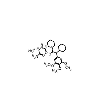 COc1cc(C(C(=O)N2CCCC[C@H]2C(=O)N[C@@H](CO)C(N)=O)C2CCCCC2)cc(OC)c1OC